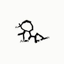 CC1=C2CC(C)(C(C)(C)C)CCCCCC2C(c2ccc(C(C)C)cc2)=NN1